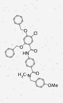 COc1ccc(CN(C)C(=O)c2ccc(NC(=O)c3cc(Cl)c(OCc4ccccc4)cc3OCc3ccccc3)cc2)cc1